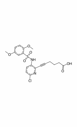 COc1ccc(OC)c(S(=O)(=O)Nc2ccc(Cl)nc2C#CCCCC(=O)O)c1